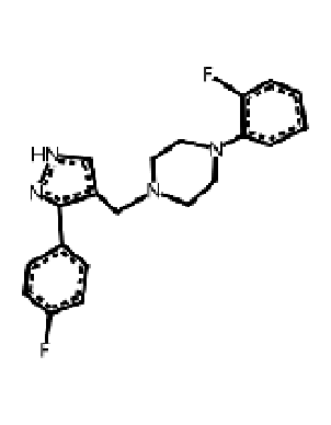 Fc1ccc(-c2n[nH]cc2CN2CCN(c3ccccc3F)CC2)cc1